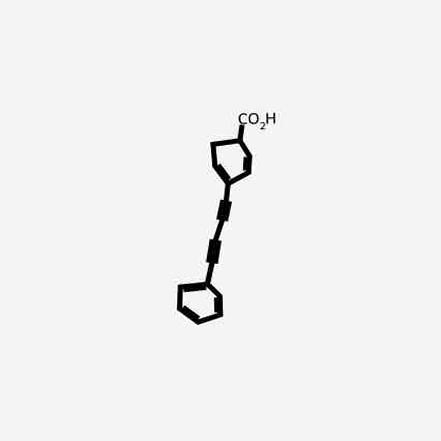 O=C(O)C1C=CC(C#CC#Cc2ccccc2)=CC1